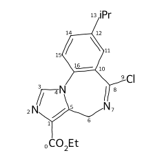 CCOC(=O)c1ncn2c1CN=C(Cl)c1cc(C(C)C)ccc1-2